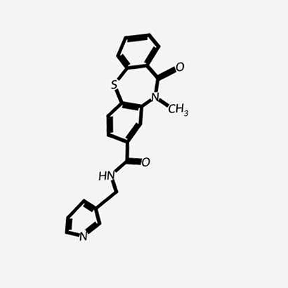 CN1C(=O)c2ccccc2Sc2ccc(C(=O)NCc3cccnc3)cc21